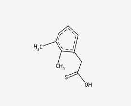 Cc1cccc(CC(O)=S)c1C